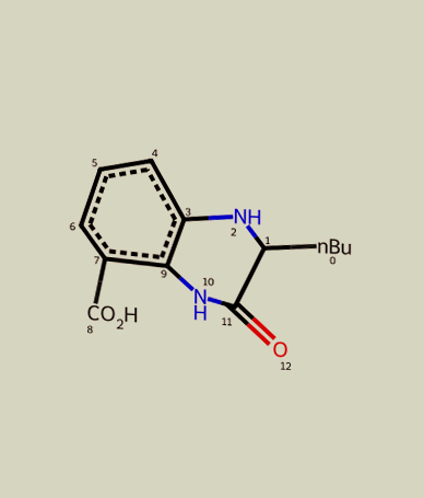 CCCCC1Nc2cccc(C(=O)O)c2NC1=O